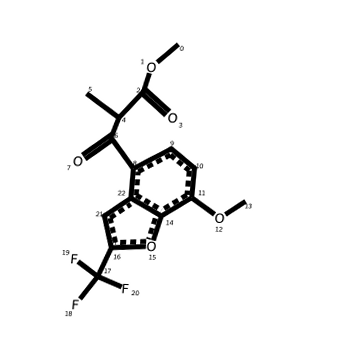 COC(=O)C(C)C(=O)c1ccc(OC)c2oc(C(F)(F)F)cc12